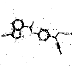 CC#CC(CC(=O)O)c1ccc(OC(C)c2cccc3c(CCCC)n[nH]c23)cc1